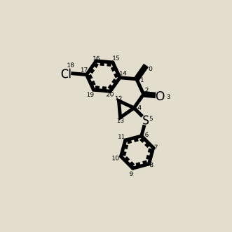 C=C(C(=O)C1(Sc2ccccc2)CC1)c1ccc(Cl)cc1